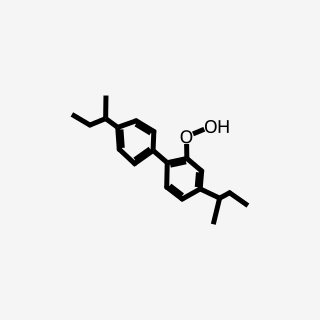 CCC(C)c1ccc(-c2ccc(C(C)CC)cc2OO)cc1